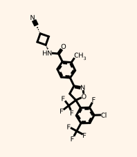 Cc1cc(C2=NOC(c3cc(C(F)(F)F)cc(Cl)c3F)(C(F)(F)F)C2)ccc1C(=O)N[C@H]1C[C@@H](C#N)C1